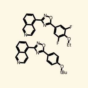 CC(C)(C)Oc1ccc(-c2nc(-c3cccc4cnccc34)no2)cc1.CCOc1c(F)cc(-c2nc(-c3cccc4cnccc34)no2)cc1F